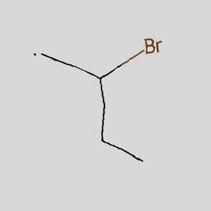 [CH2]C(Br)CC